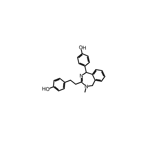 CN1Cc2ccccc2C(c2ccc(O)cc2)N=C1CCc1ccc(O)cc1